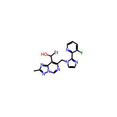 CCC(O)c1c(Cn2ccnc2-c2ncccc2F)ncn2nc(C)nc12